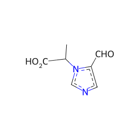 CC(C(=O)O)n1cncc1C=O